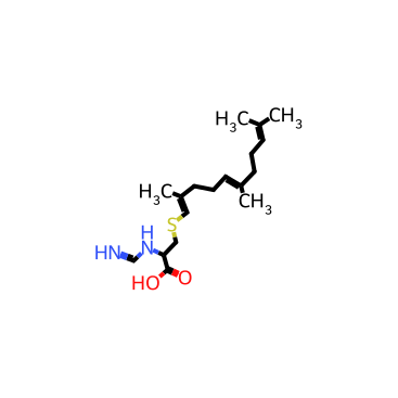 CC(C)=CCCC(C)=CCCC(C)=CSCC(NC=N)C(=O)O